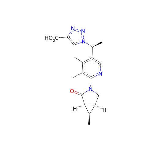 Cc1c([C@H](C)n2cc(C(=O)O)nn2)cnc(N2C[C@H]3[C@@H](C)[C@H]3C2=O)c1C